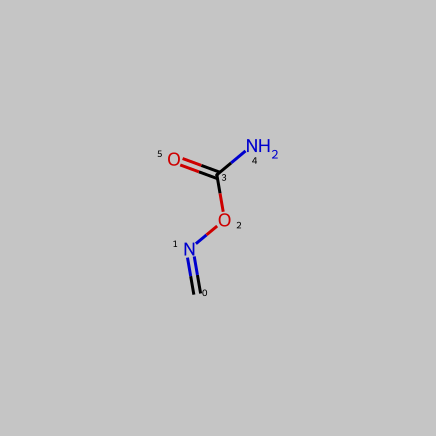 C=NOC(N)=O